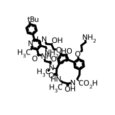 Cc1nc(-c2ccc(C(C)(C)C)cc2)cc(CN)c1C(=O)NCC(=O)N(C)[C@@H]1C(=O)N[C@@H](C)C(=O)N[C@H](C(=O)O)Cc2ccc(OCCCN)c(c2)-c2cc1cc(OC[C@H](O)CN)c2O